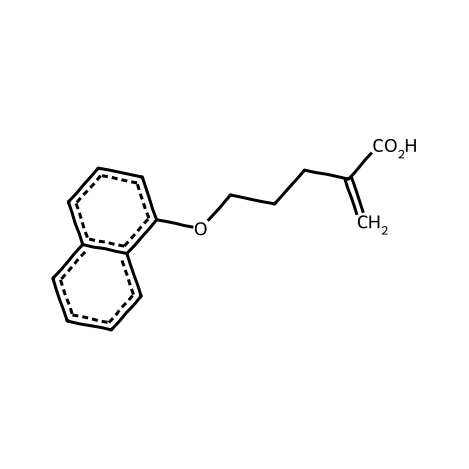 C=C(CCCOc1cccc2ccccc12)C(=O)O